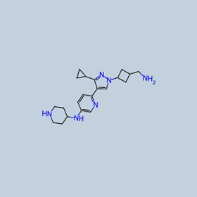 NCC1CC(n2cc(-c3ccc(NC4CCNCC4)cn3)c(C3CC3)n2)C1